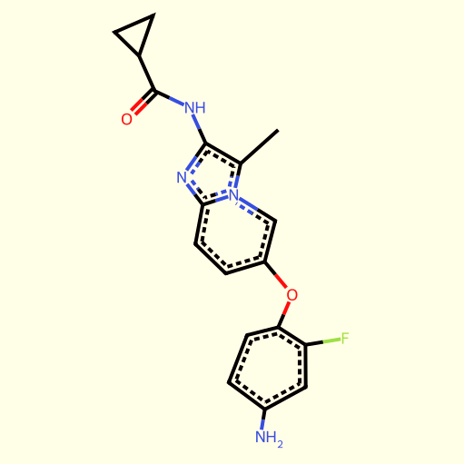 Cc1c(NC(=O)C2CC2)nc2ccc(Oc3ccc(N)cc3F)cn12